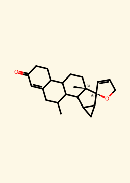 CC1CC2=CC(=O)CCC2C2CC[C@@]3(C)C(C4CC4[C@@]34C=CCO4)C12